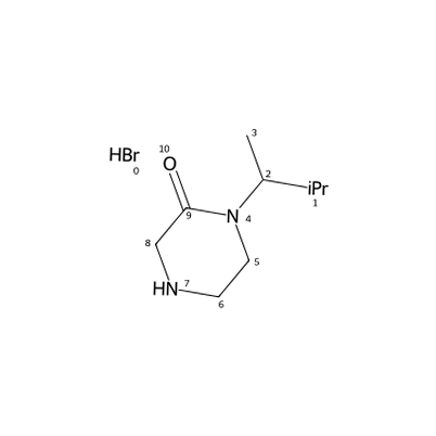 Br.CC(C)C(C)N1CCNCC1=O